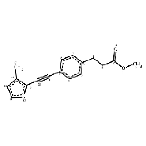 COC(=O)CCc1ccc(C#Cc2sccc2C)cc1